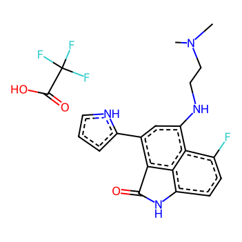 CN(C)CCNc1cc(-c2ccc[nH]2)c2c3c(ccc(F)c13)NC2=O.O=C(O)C(F)(F)F